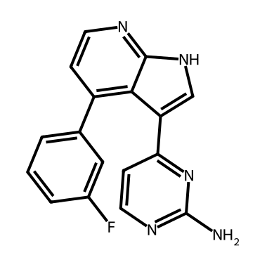 Nc1nccc(-c2c[nH]c3nccc(-c4cccc(F)c4)c23)n1